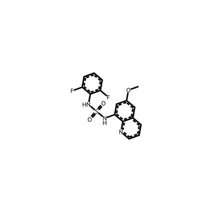 COc1cc(NS(=O)(=O)Nc2c(F)cccc2F)c2ncccc2c1